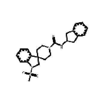 CS(=O)(=O)N1CC2(CCN(C(=O)NC3Cc4ccccc4C3)CC2)c2ccccc21